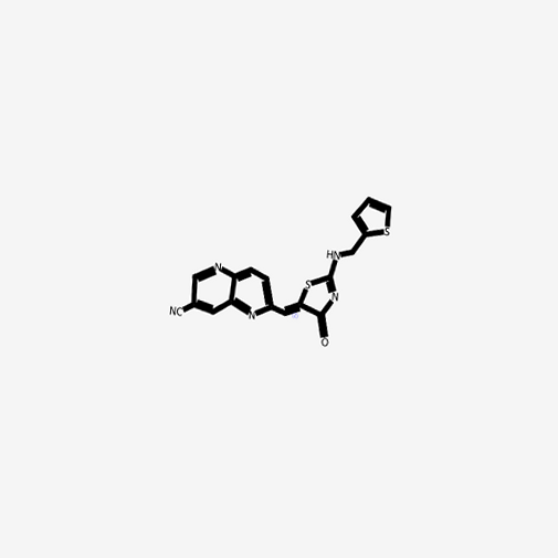 N#Cc1cnc2ccc(/C=C3\SC(NCc4cccs4)=NC3=O)nc2c1